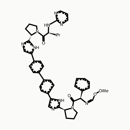 COO/C=N\[C@@H](C(=O)N1CCC[C@H]1c1ncc(-c2ccc(-c3ccc(-c4cnc([C@@H]5CCCN5C(=O)[C@@H](Nc5ncccn5)C(C)C)[nH]4)cc3)cc2)[nH]1)c1ccccc1